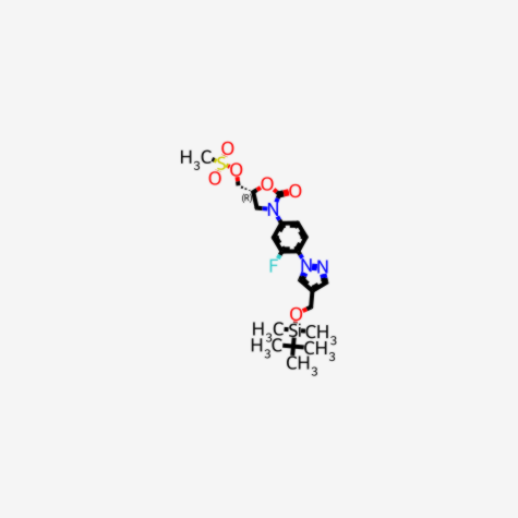 CC(C)(C)[Si](C)(C)OCc1cnn(-c2ccc(N3C[C@H](COS(C)(=O)=O)OC3=O)cc2F)c1